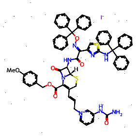 COc1ccc(COC(=O)C2=C(/C=C/C[n+]3cccc(NC(N)=O)c3)CS[C@H]3[C@H](NC(=O)C(=NOC(c4ccccc4)(c4ccccc4)c4ccccc4)c4csc(NC(c5ccccc5)(c5ccccc5)c5ccccc5)n4)C(=O)N23)cc1.[I-]